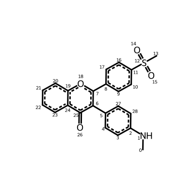 CNc1ccc(-c2c(-c3ccc(S(C)(=O)=O)cc3)oc3ccccc3c2=O)cc1